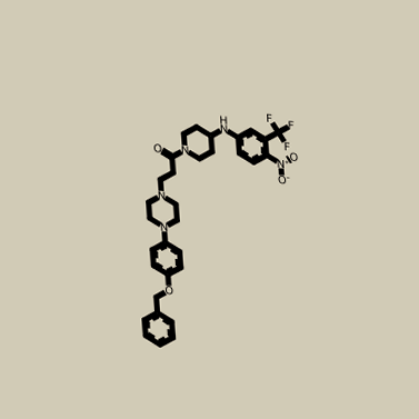 O=C(CCN1CCN(c2ccc(OCc3ccccc3)cc2)CC1)N1CCC(Nc2ccc([N+](=O)[O-])c(C(F)(F)F)c2)CC1